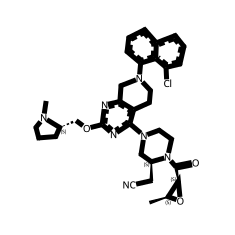 C[C@@H]1O[C@@H]1C(=O)N1CCN(c2nc(OC[C@@H]3CCCN3C)nc3c2CCN(c2cccc4cccc(Cl)c24)C3)C[C@@H]1CC#N